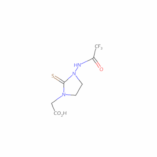 O=C(O)CN1CCN(NC(=O)C(F)(F)F)C1=S